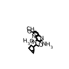 COc1ccc2ncc3c(c2n1)N(C)C(C1CCC2CC21)CO3.N